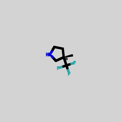 C[C@@]1(C(F)(F)F)CCNC1